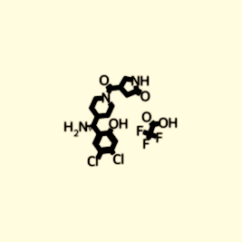 N[C@@H](c1cc(Cl)c(Cl)cc1O)C1CCN(C(=O)C2CNC(=O)C2)CC1.O=C(O)C(F)(F)F